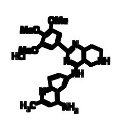 COc1cc(-c2nc3c(c(Nc4ccc5nc(C)cc(N)c5c4)n2)CNCC3)cc(OC)c1OC.Cl